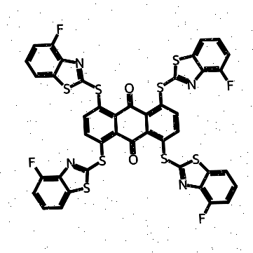 O=C1c2c(Sc3nc4c(F)cccc4s3)ccc(Sc3nc4c(F)cccc4s3)c2C(=O)c2c(Sc3nc4c(F)cccc4s3)ccc(Sc3nc4c(F)cccc4s3)c21